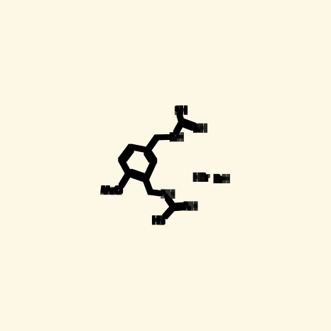 Br.Br.COc1ccc(CNC(=N)S)cc1CNC(=N)S